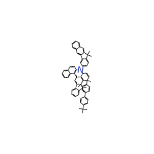 CC(C)(C)c1ccc(-c2ccc(C3(C)C=CC4(C)C5=C3C3(C)C(=CC5(C)c5c(ccc6ccccc56)N4c4ccc5c(c4)-c4cc6ccccc6cc4C5(C)C)c4ccccc4C3(C)C)cc2)cc1